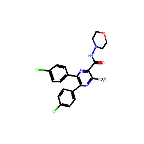 O=C(O)c1nc(-c2ccc(Cl)cc2)c(-c2ccc(Cl)cc2)nc1C(=O)NN1CCOCC1